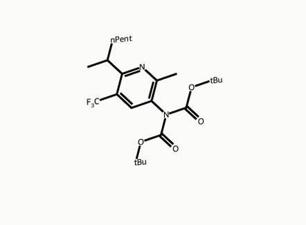 CCCCCC(C)c1nc(C)c(N(C(=O)OC(C)(C)C)C(=O)OC(C)(C)C)cc1C(F)(F)F